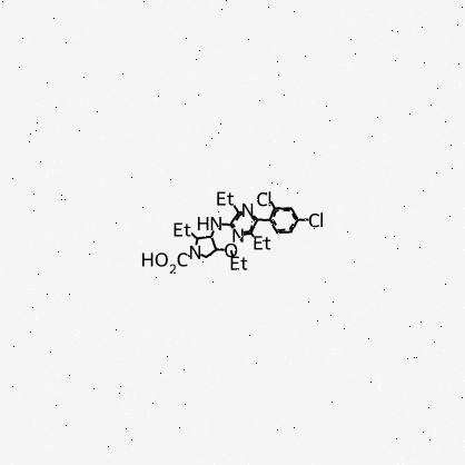 CCOC1CN(C(=O)O)C(CC)C1Nc1nc(CC)c(-c2ccc(Cl)cc2Cl)nc1CC